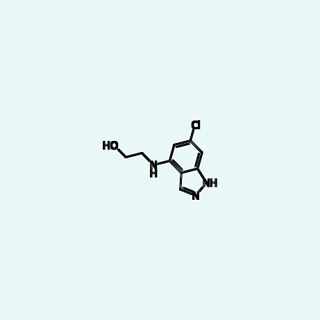 OCCNc1cc(Cl)cc2[nH]ncc12